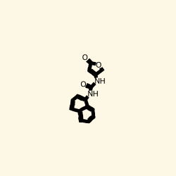 O=C(NC1=CC(=O)OC1)Nc1cccc2ccccc12